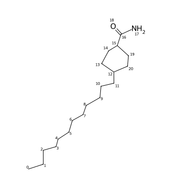 CCCCCCCCCCCCC1CCC(C(N)=O)CC1